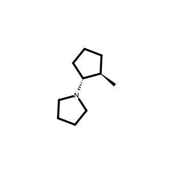 C[C@@H]1CCC[C@H]1N1CCCC1